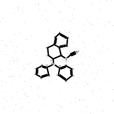 N#CSC1c2ccccc2CCC1P(c1ccccc1)c1ccccc1